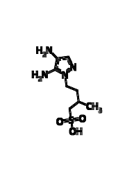 CC(CCn1ncc(N)c1N)CS(=O)(=O)O